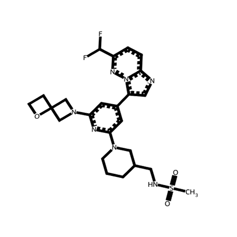 CS(=O)(=O)NCC1CCCN(c2cc(-c3cnc4ccc(C(F)F)nn34)cc(N3CC4(CCO4)C3)n2)C1